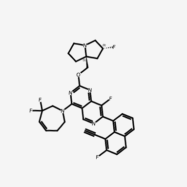 C#Cc1c(F)ccc2cccc(-c3ncc4c(N5CCC=CC(F)(F)C5)nc(OC[C@@]56CCCN5C[C@H](F)C6)nc4c3F)c12